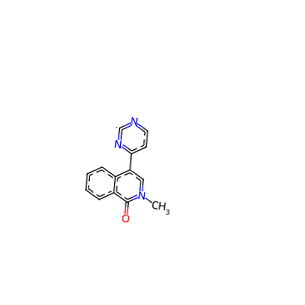 Cn1cc(-c2ccn[c]n2)c2ccccc2c1=O